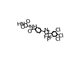 O=C(NC1CONC1=O)c1ccc(C2=NCC(c3cc(Cl)c(Cl)c(Cl)c3)(C(F)(F)F)C2)cc1